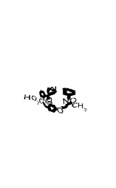 Cc1oc(-c2ccccc2)nc1CCOc1ccc(C[C@H](Nc2ccccc2C(=O)c2ccncc2)C(=O)O)cc1